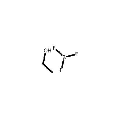 CCO.FB(F)F